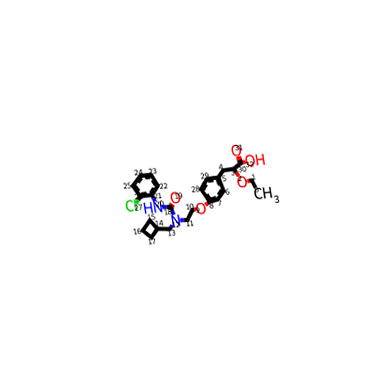 CCOC(Cc1ccc(OCCN(CC2CCC2)C(=O)Nc2ccccc2Cl)cc1)C(=O)O